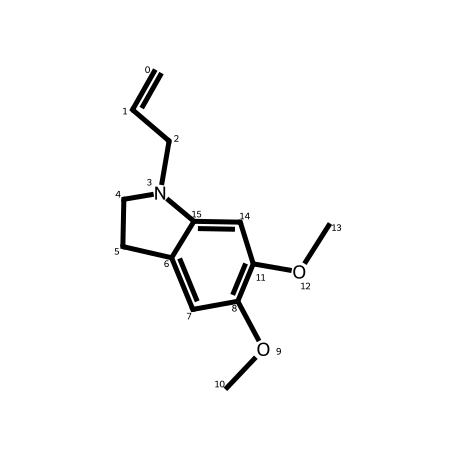 C=CCN1CCc2cc(OC)c(OC)cc21